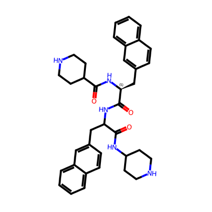 O=C(N[C@@H](Cc1ccc2ccccc2c1)C(=O)NC(Cc1ccc2ccccc2c1)C(=O)NC1CCNCC1)C1CCNCC1